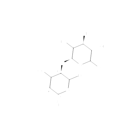 CCC1O[C@H](C)[C@H](C)C(C)[C@H]1O[C@@H]1OC(CC)[C@@H](O)[C@H](C)C1C